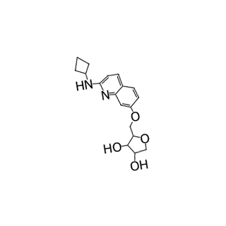 OC1COC(COc2ccc3ccc(NC4CCC4)nc3c2)C1O